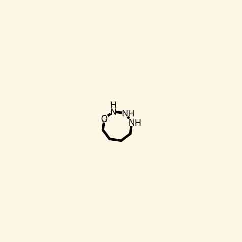 C1CCONNNC1